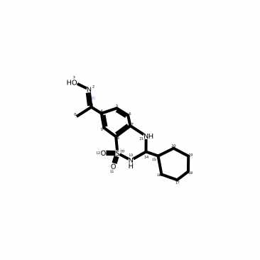 C/C(=N\O)c1ccc2c(c1)S(=O)(=O)NC(C1CCCCC1)N2